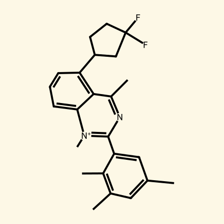 Cc1cc(C)c(C)c(-c2nc(C)c3c(C4CCC(F)(F)C4)cccc3[n+]2C)c1